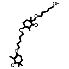 CC1=C(OCCCCCOC2=C(C)C(=O)C(C)(COCCCCCO)CC2)CCC(C)(C)C1=O